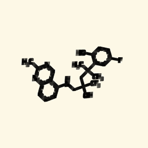 Cc1ncc2c(NCC(O)(CC(C)(C)c3cc(F)ccc3O)C(F)(F)F)cccc2n1